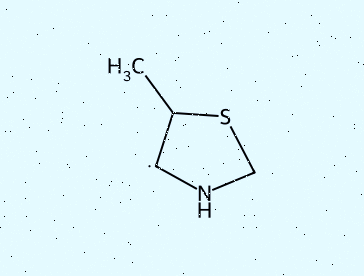 CC1[CH]NCS1